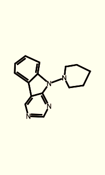 c1ccc2c(c1)c1cncnc1n2N1CCCCC1